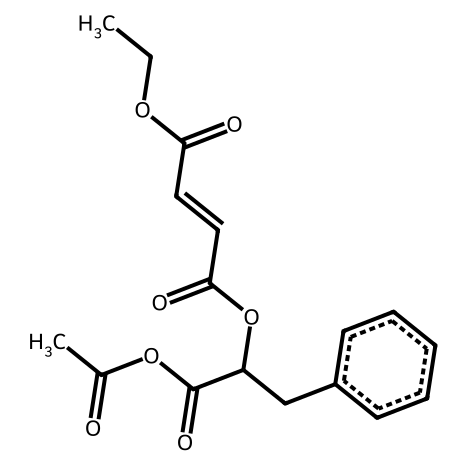 CCOC(=O)/C=C/C(=O)OC(Cc1ccccc1)C(=O)OC(C)=O